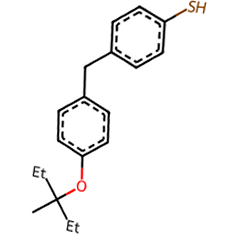 CCC(C)(CC)Oc1ccc(Cc2ccc(S)cc2)cc1